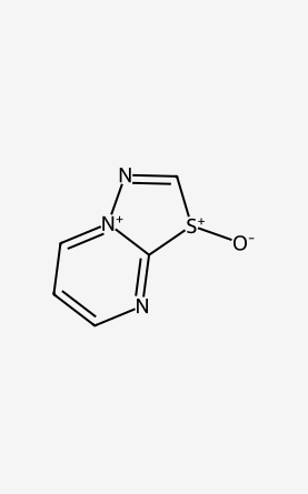 [O-][s+]1cn[n+]2cccnc21